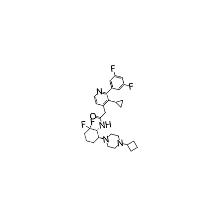 O=C(Cc1ccnc(-c2cc(F)cc(F)c2)c1C1CC1)N[C@@H]1[C@@H](N2CCN(C3CCC3)CC2)CCCC1(F)F